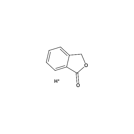 O=C1OCc2ccccc21.[H+]